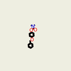 CN(C)C(=O)Oc1ccc(OCc2ccccc2)cc1